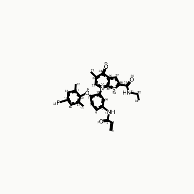 C=CC(=O)Nc1ccc(Oc2c(C)cc(F)cc2C)c(-n2cc(C)c(=O)c3cc(C(=O)NCC)sc32)c1